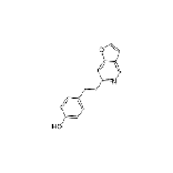 Oc1ccc(CCc2cc3occc3cn2)cc1